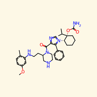 COc1ccc(C)c(NCCC2CNCCN2C(=O)c2ncn([C@H]3CCCC[C@]3(OC(N)=O)C(C)C)c2-c2ccccc2)c1